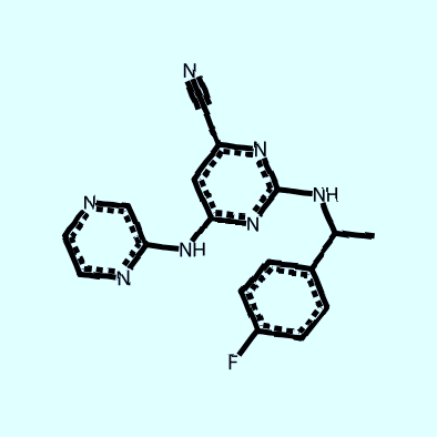 CC(Nc1nc(C#N)cc(Nc2cnccn2)n1)c1ccc(F)cc1